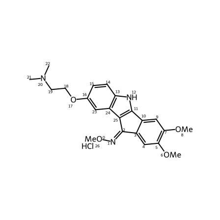 CON=C1c2cc(OC)c(OC)cc2-c2[nH]c3ccc(OCCN(C)C)cc3c21.Cl